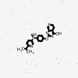 CC(C)c1ccc(N(C)c2ccc(Oc3nc(O)c4ccncc4n3)cc2)cn1